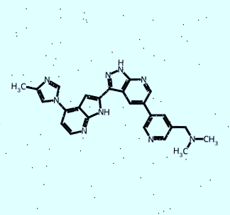 Cc1cn(-c2ccnc3[nH]c(-c4n[nH]c5ncc(-c6cncc(CN(C)C)c6)cc45)cc23)cn1